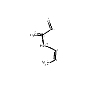 C=C(C=O)N/C=C\C